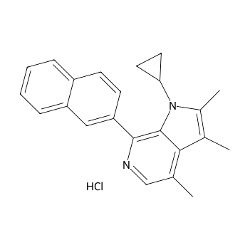 Cc1cnc(-c2ccc3ccccc3c2)c2c1c(C)c(C)n2C1CC1.Cl